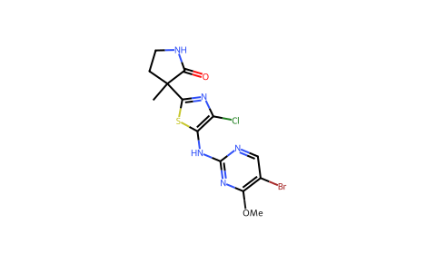 COc1nc(Nc2sc(C3(C)CCNC3=O)nc2Cl)ncc1Br